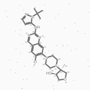 CC(C)(C)n1nccc1Nc1ncc2cc(Cl)c(N3CCN([C@@]4(C)COC[C@H]4O)CC3)cc2n1